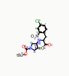 COC(=O)C(Cc1ccc(Cl)cc1[N+](=O)[O-])NC1CCN(C(=O)OC(C)(C)C)C1